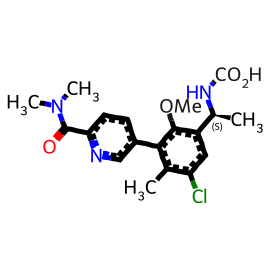 COc1c([C@H](C)NC(=O)O)cc(Cl)c(C)c1-c1ccc(C(=O)N(C)C)nc1